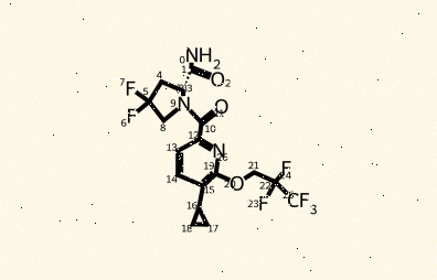 NC(=O)[C@H]1CC(F)(F)CN1C(=O)c1ccc(C2CC2)c(OCC(F)(F)C(F)(F)F)n1